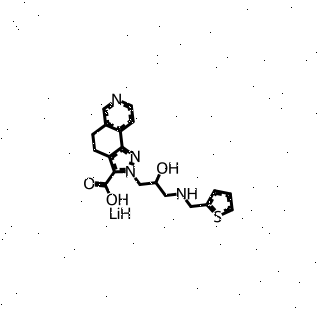 O=C(O)c1c2c(nn1CC(O)CNCc1cccs1)-c1ccncc1CC2.[LiH]